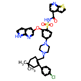 CC1(C)CCC(CN2CCN(c3ccc(S(=O)(=O)NC(=O)c4ccnc5sccc45)c(Oc4cnc5[nH]ccc5c4)c3)CC2)=C(c2ccc(Cl)cc2)C1